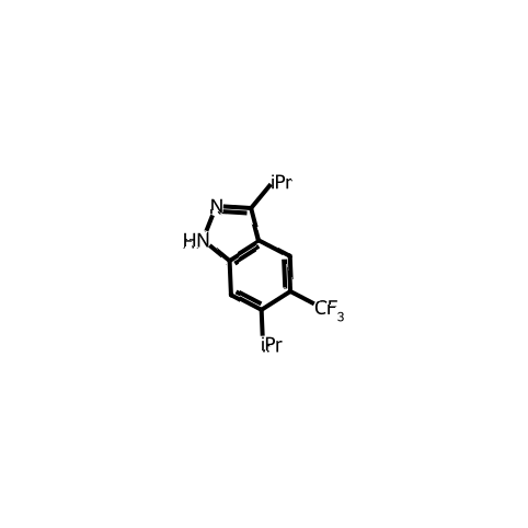 CC(C)c1cc2[nH]nc(C(C)C)c2cc1C(F)(F)F